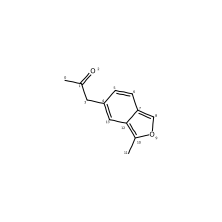 CC(=O)Cc1ccc2coc(C)c2c1